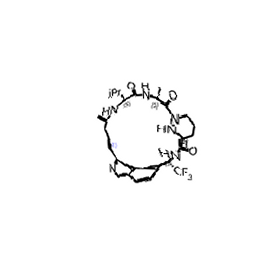 C=C1C/C=C/c2cc3cc(ccc3cn2)[C@@H](C(F)(F)F)NC(=O)[C@@H]2CCCN(N2)C(=O)[C@H](C)NC(=O)[C@H](C(C)C)N1